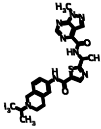 CC(NC(=O)c1ncnc2c1cnn2C)c1ncc(C(=O)Nc2ccc3c(c2)CCN(C(C)C)C3)s1